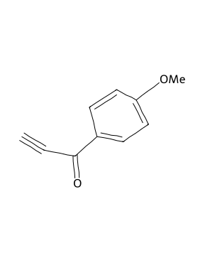 C#CC(=O)c1ccc(OC)cc1